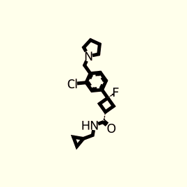 O=C(NCC1CC1)[C@H]1C[C@](F)(c2ccc(CN3CCCC3)c(Cl)c2)C1